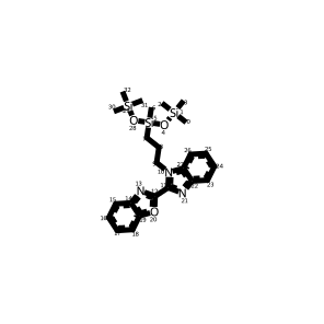 C[Si](C)(C)O[Si](C)(CCCn1c(-c2nc3ccccc3o2)nc2ccccc21)O[Si](C)(C)C